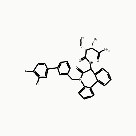 CCC[C@H](C(N)=O)[C@@H](CC(C)C)C(=O)NC1C(=O)N(Cc2cccc(-c3ccc(F)c(Cl)c3)c2)c2ccccc2-c2ccccc21